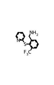 NCc1cccc(C(F)(F)F)c1Sc1ccccn1